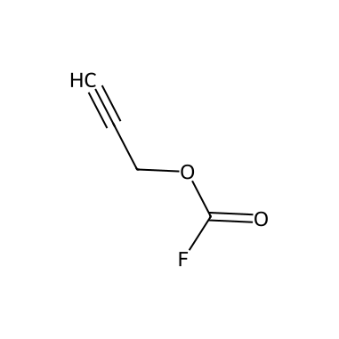 C#CCOC(=O)F